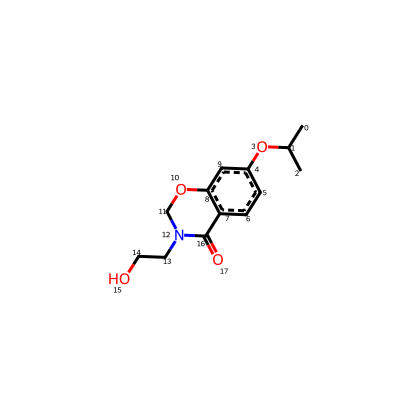 CC(C)Oc1ccc2c(c1)OCN(CCO)C2=O